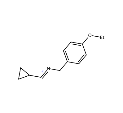 CCOc1ccc(C/N=C/C2CC2)cc1